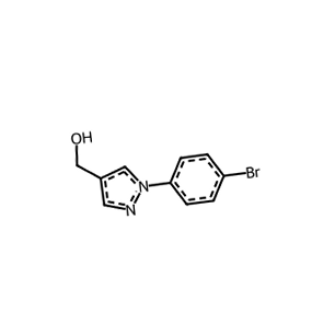 OCc1cnn(-c2ccc(Br)cc2)c1